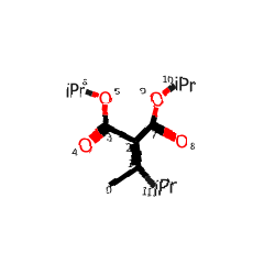 CC(=C(C(=O)OC(C)C)C(=O)OC(C)C)C(C)C